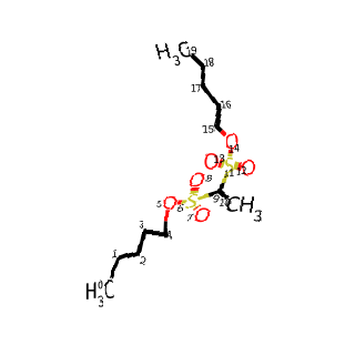 CCCCCOS(=O)(=O)C(C)S(=O)(=O)OCCCCC